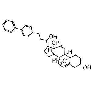 C[C@]12CC[C@H]3[C@@H](CC=C4C[C@@H](O)CC[C@@]43C)[C@@H]1CC[C@@H]2C(O)CCc1ccc(-c2ccccc2)cc1